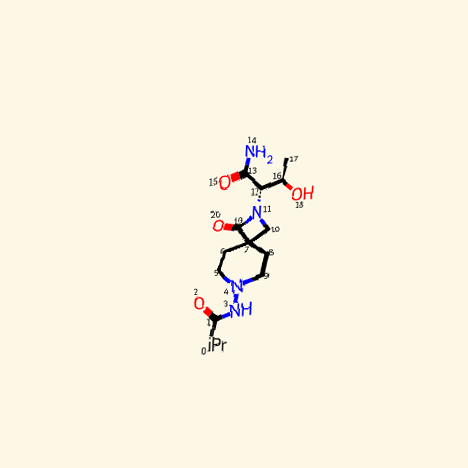 CC(C)C(=O)NN1CCC2(CC1)CN([C@H](C(N)=O)[C@@H](C)O)C2=O